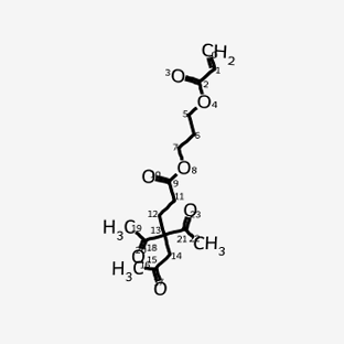 C=CC(=O)OCCCOC(=O)CCC(CC(C)=O)(C(C)=O)C(C)=O